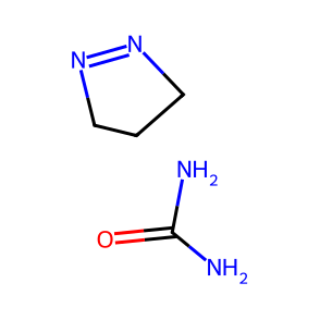 C1CN=NC1.NC(N)=O